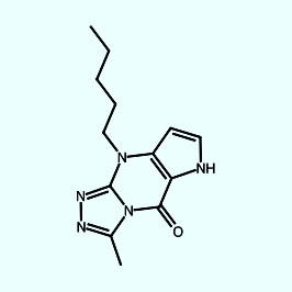 CCCCCn1c2cc[nH]c2c(=O)n2c(C)nnc12